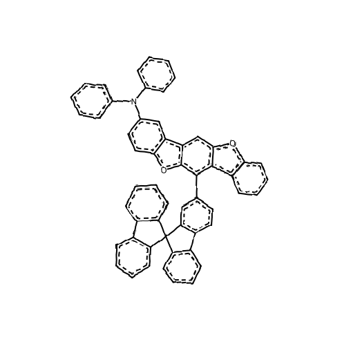 c1ccc(N(c2ccccc2)c2ccc3oc4c(-c5ccc6c(c5)C5(c7ccccc7-c7ccccc75)c5ccccc5-6)c5c(cc4c3c2)oc2ccccc25)cc1